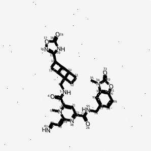 CN1C(C(=O)NCC23C4C5C2C2C3C4C52c2noc(=O)[nH]2)=CC(C(=O)NCc2ccc3oc(=O)n(C)c3c2)=N/C1=C/C=N